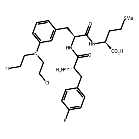 CSCC[C@H](NC(=O)[C@H](Cc1cccc(N(CCCl)CCCl)c1)NC(=O)[C@@H](N)Cc1ccc(F)cc1)C(=O)O